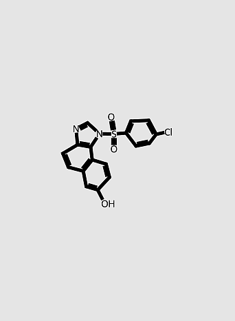 O=S(=O)(c1ccc(Cl)cc1)n1cnc2ccc3cc(O)ccc3c21